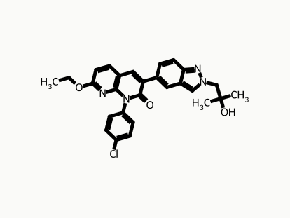 CCOc1ccc2cc(-c3ccc4nn(CC(C)(C)O)cc4c3)c(=O)n(-c3ccc(Cl)cc3)c2n1